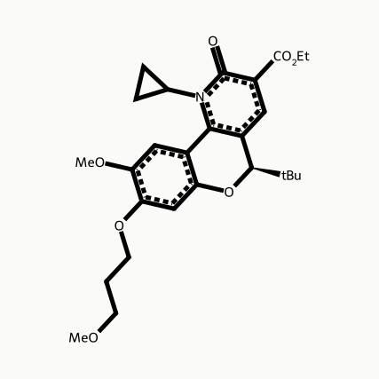 CCOC(=O)c1cc2c(n(C3CC3)c1=O)-c1cc(OC)c(OCCCOC)cc1O[C@@H]2C(C)(C)C